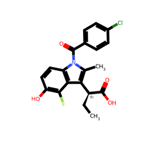 CC[C@H](C(=O)O)c1c(C)n(C(=O)c2ccc(Cl)cc2)c2ccc(O)c(F)c12